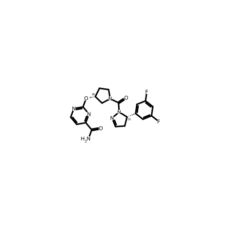 NC(=O)c1ccnc(O[C@@H]2CCN(C(=O)N3N=CC[C@H]3c3cc(F)cc(F)c3)C2)n1